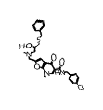 CN(Cc1cc2c(=O)c(C(=O)NCc3ccc(Cl)cc3)cn(C)c2o1)CC(O)CSCc1ccccc1